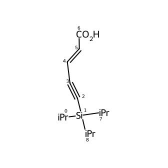 CC(C)[Si](C#C/C=C/C(=O)O)(C(C)C)C(C)C